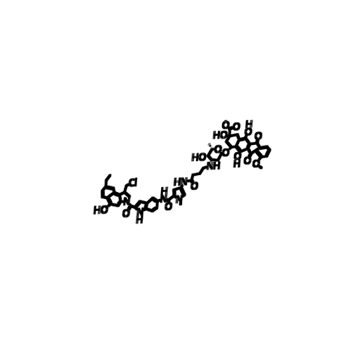 CCc1ccc2c(O)cc3c(c2c1)C(CCl)CN3C(=O)c1cc2cc(NC(=O)c3cc(NC(=O)CCCN[C@H]4CC(O[C@H]5C[C@](O)(C(=O)OC)Cc6c(O)c7c(c(O)c65)C(=O)c5c(OC)cccc5C7=O)O[C@@H](C)[C@H]4O)cn3C)ccc2[nH]1